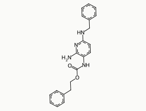 Nc1nc(NCc2ccccc2)ccc1NC(=O)OCCc1ccccc1